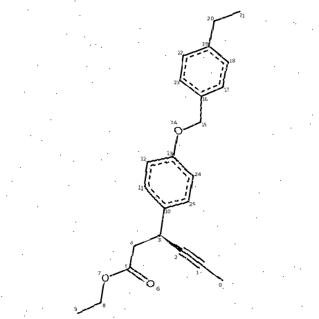 CC#C[C@@H](CC(=O)OCC)c1ccc(OCc2ccc(CC)cc2)cc1